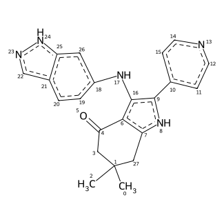 CC1(C)CC(=O)c2c([nH]c(-c3ccncc3)c2Nc2ccc3cn[nH]c3c2)C1